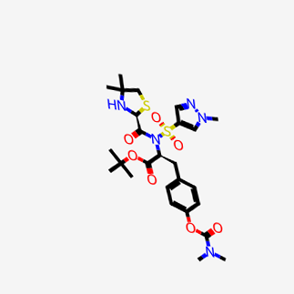 CN(C)C(=O)Oc1ccc(C[C@@H](C(=O)OC(C)(C)C)N(C(=O)[C@H]2NC(C)(C)CS2)S(=O)(=O)c2cnn(C)c2)cc1